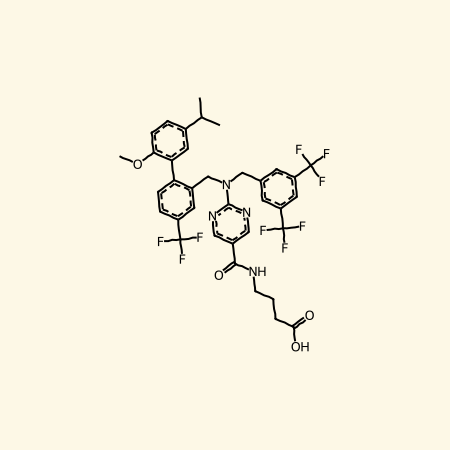 COc1ccc(C(C)C)cc1-c1ccc(C(F)(F)F)cc1CN(Cc1cc(C(F)(F)F)cc(C(F)(F)F)c1)c1ncc(C(=O)NCCCC(=O)O)cn1